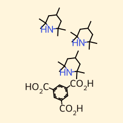 CC1CC(C)(C)NC(C)(C)C1.CC1CC(C)(C)NC(C)(C)C1.CC1CC(C)(C)NC(C)(C)C1.O=C(O)c1cc(C(=O)O)cc(C(=O)O)c1